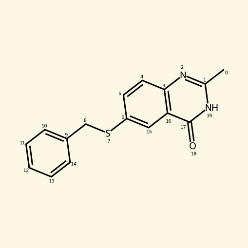 Cc1nc2ccc(SCc3ccccc3)cc2c(=O)[nH]1